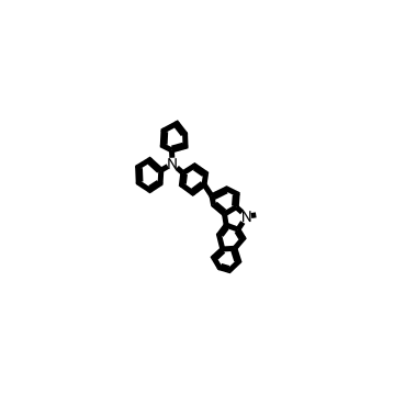 Cn1c2ccc(-c3ccc(N(c4ccccc4)c4ccccc4)cc3)cc2c2cc3ccccc3cc21